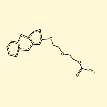 CC(=O)OCCOCCOc1ccc2cc3ccccc3cc2c1